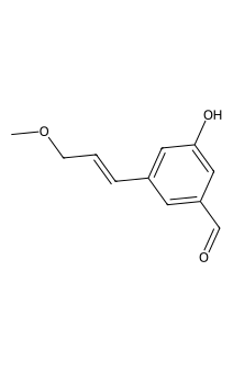 COCC=Cc1cc(O)cc(C=O)c1